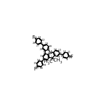 CC1(C)c2cc(-c3ccc(F)cc3)ccc2-n2c3ccc(-c4ccc(F)cc4)cc3c3cc(-c4ccc(F)cc4)cc1c32